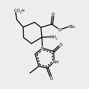 Cc1cn(C2(N)CCC(CC(=O)O)CC2C(=O)OC(C)(C)C)c(=O)[nH]c1=O